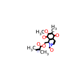 C/C=C(/C)C(=O)OCC1C2=C(C=CN1C=O)C(=O)C(C)=C(OC)C2=O